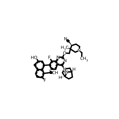 C#Cc1c(F)ccc2cc(O)cc(-c3c(F)cc4c(N5C[C@H]6CC[C@@H](C5)N6)nc(OC[C@@]5(C)CN(CC)CC[C@@H]5C#N)nc4c3F)c12